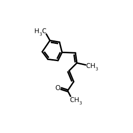 CC(=O)C=CC(C)=Cc1cccc(C)c1